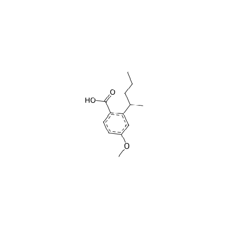 CCCC(C)c1cc(OC)ccc1C(=O)O